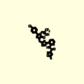 Cc1cc(C(=O)Nc2ncccc2-n2cnc(Cn3nc(-c4ccc(Cl)cc4)n(C[C@H](O)C(F)(F)F)c3=O)n2)no1